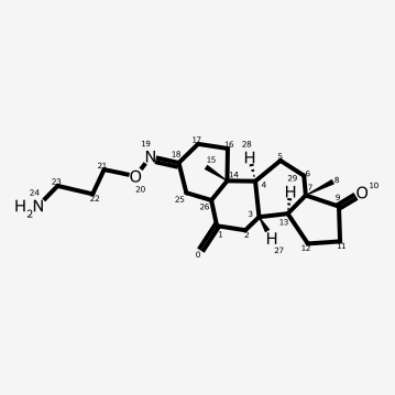 C=C1C[C@@H]2[C@H](CC[C@]3(C)C(=O)CC[C@@H]23)[C@@]2(C)CC/C(=N/OCCCN)CC12